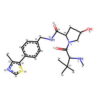 CNC(C(=O)N1CC(O)CC1C(=O)NCc1ccc(-c2scnc2C)cc1)C(C)(C)C